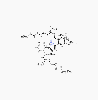 CCCCCCCCCCCCCC=CCC(CCCCCC)CCc1ccccc1C1=CC(CCCCCC)=C(c2ccccc2CCC(CC=CCCCCCCCCCCCCC)CCCCCC)[N+]1=[N-].CCCC[CH2][Ni][CH2]CCCC